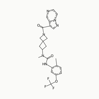 Cc1ccc(OC(F)(F)F)cc1NC(=O)N(C)C1CC2(C1)CN(C(=O)c1cnn3ccncc13)C2